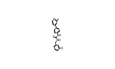 Cc1cc(-c2ccc(NC(=O)NCc3cccc(Cl)c3)cc2)ccn1